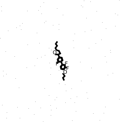 CCCCOc1ccc(-c2ccc(C3CCC(CCCC)OC3)cc2F)c(F)c1F